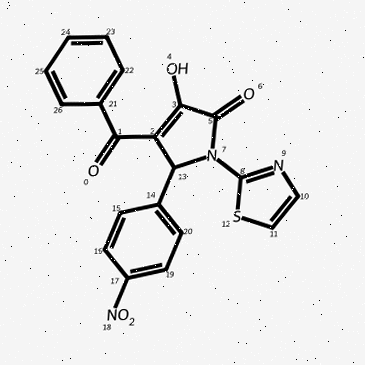 O=C(C1=C(O)C(=O)N(c2nccs2)C1c1ccc([N+](=O)[O-])cc1)c1ccccc1